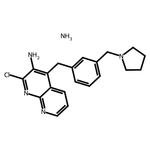 N.Nc1c(Cl)nc2ncccc2c1Cc1cccc(CN2CCCC2)c1